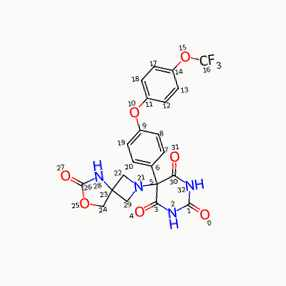 O=C1NC(=O)C(c2ccc(Oc3ccc(OC(F)(F)F)cc3)cc2)(N2CC3(COC(=O)N3)C2)C(=O)N1